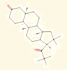 [2H]C([2H])([2H])C(=O)[C@@]1([2H])C([2H])([2H])C[C@H]2[C@@H]3CC[C@H]4CC(=O)CC[C@]4(C)[C@H]3CC[C@@]21C